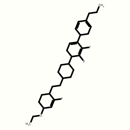 CCCC1=CCC(C2=CCC(C3CCC(CCC4CCC(OCC)C=C4F)CC3)C(F)=C2F)C=C1